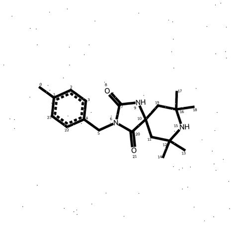 Cc1ccc(CN2C(=O)NC3(CC(C)(C)NC(C)(C)C3)C2=O)cc1